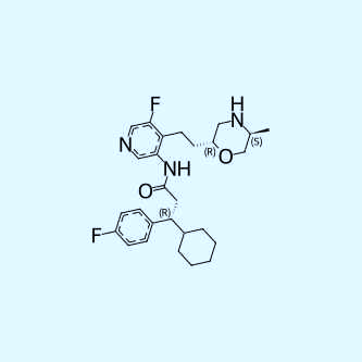 C[C@H]1CO[C@H](CCc2c(F)cncc2NC(=O)C[C@@H](c2ccc(F)cc2)C2CCCCC2)CN1